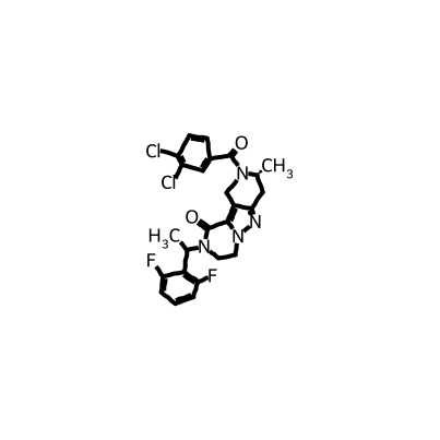 CC(c1c(F)cccc1F)N1CCn2nc3c(c2C1=O)CN(C(=O)c1ccc(Cl)c(Cl)c1)[C@H](C)C3